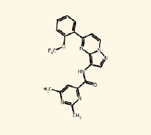 Cc1cc(C(=O)Nc2cnn3ccc(-c4ccccc4OC(F)(F)F)nc23)nc(C)n1